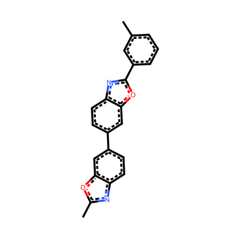 Cc1cccc(-c2nc3ccc(-c4ccc5nc(C)oc5c4)cc3o2)c1